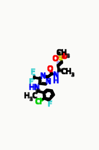 C[C@H](/C=C/S(C)(=O)=O)NC(=O)c1ncc(N[C@@H](C)c2cccc(F)c2Cl)c(C(F)F)n1